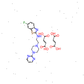 Fc1ccc2nc(NCCN3CCN(c4ncccn4)CC3)sc2c1.O=C(O)C=CC(=O)O.O=C(O)C=CC(=O)O